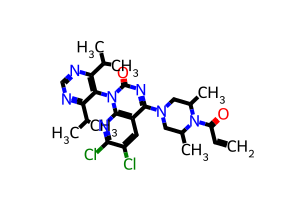 C=CC(=O)N1C(C)CN(c2nc(=O)n(-c3c(C(C)C)ncnc3C(C)C)c3nc(Cl)c(Cl)cc23)CC1C